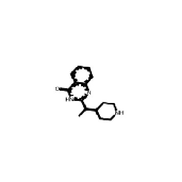 CC(c1nc2ccccc2c(=O)[nH]1)C1CCNCC1